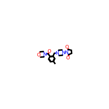 Cc1ccc(C(=O)N2CCOCC2)c(CN2CCN(N3C(=O)CCC3=O)CC2)c1